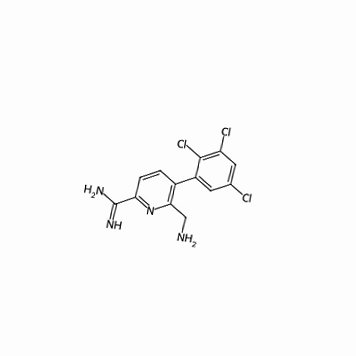 N=C(N)c1ccc(-c2cc(Cl)cc(Cl)c2Cl)c(CN)n1